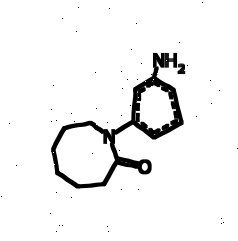 Nc1cccc(N2CCCCCCC2=O)c1